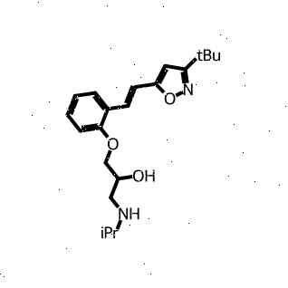 CC(C)NCC(O)COc1ccccc1C=Cc1cc(C(C)(C)C)no1